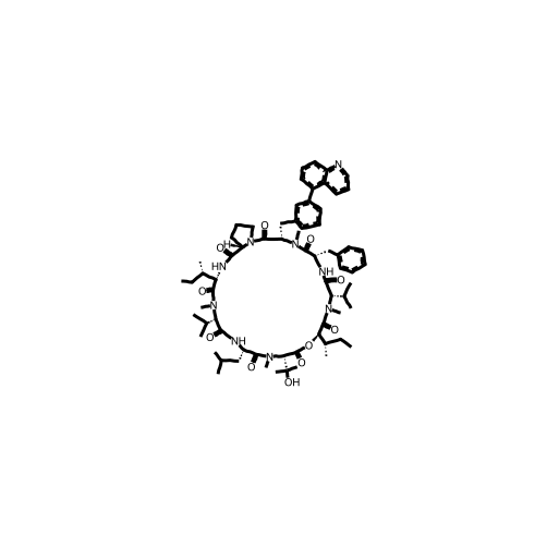 CC[C@H](C)[C@@H]1NC(=O)[C@@H]2CCCN2C(=O)[C@H](Cc2cccc(-c3cccc4ncccc34)c2)N(C)C(=O)[C@H](Cc2ccccc2)NC(=O)[C@H](C(C)C)N(C)C(=O)[C@@H]([C@@H](C)CC)OC(=O)[C@H](C(C)(C)O)N(C)C(=O)[C@H](CC(C)C)NC(=O)[C@H](C(C)C)N(C)C1=O